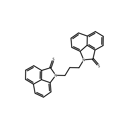 S=C1c2cccc3cccc(c23)N1CCCN1C(=S)c2cccc3cccc1c23